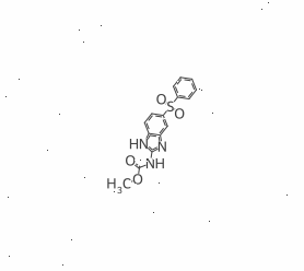 COC(=O)Nc1nc2cc(S(=O)(=O)c3ccccc3)ccc2[nH]1